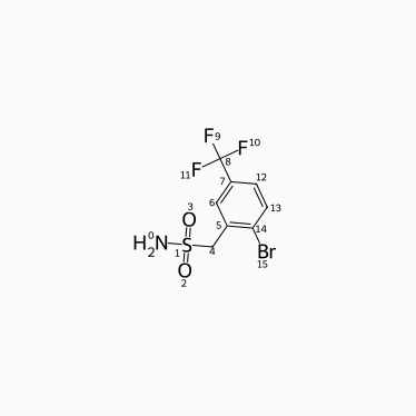 NS(=O)(=O)Cc1cc(C(F)(F)F)ccc1Br